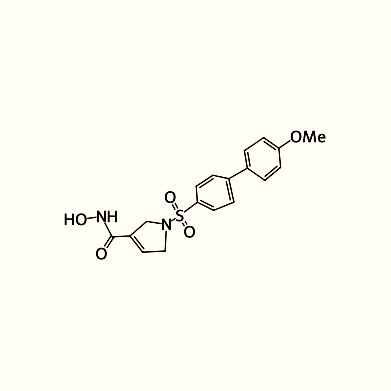 COc1ccc(-c2ccc(S(=O)(=O)N3CC=C(C(=O)NO)C3)cc2)cc1